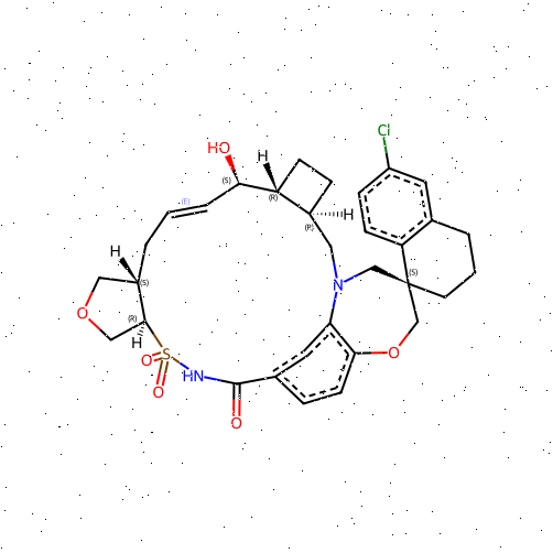 O=C1NS(=O)(=O)[C@H]2COC[C@@H]2C/C=C/[C@@H](O)[C@@H]2CC[C@H]2CN2C[C@@]3(CCCc4cc(Cl)ccc43)COc3ccc1cc32